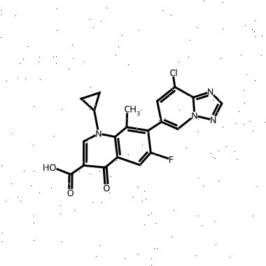 Cc1c(-c2cc(Cl)c3ncnn3c2)c(F)cc2c(=O)c(C(=O)O)cn(C3CC3)c12